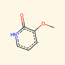 COc1[c]cc[nH]c1=O